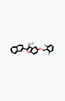 O=C(O)c1c(-c2ccc3ccccc3c2)oc2ccc(OCc3c(F)cccc3F)cc12